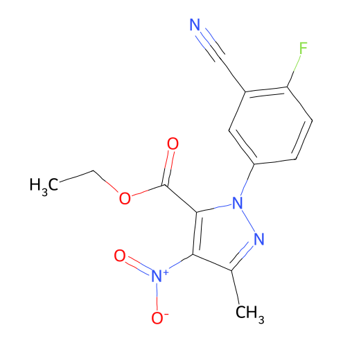 CCOC(=O)c1c([N+](=O)[O-])c(C)nn1-c1ccc(F)c(C#N)c1